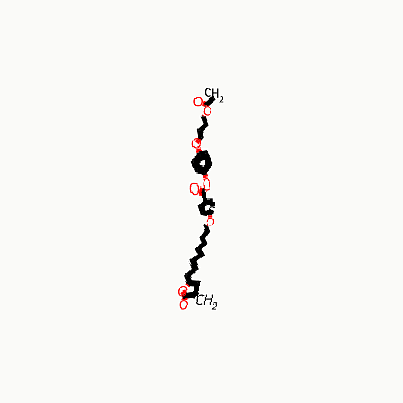 C=CC(=O)OCCCCOc1ccc(OC(=O)c2ccc(OCCCCCCCCCC3CC(=C)C(=O)O3)cc2)cc1